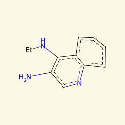 CCNc1c(N)cnc2ccccc12